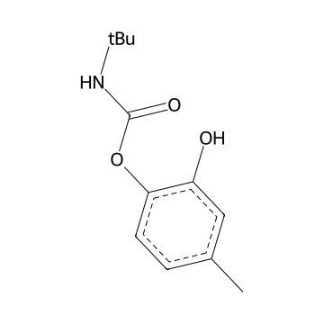 Cc1ccc(OC(=O)NC(C)(C)C)c(O)c1